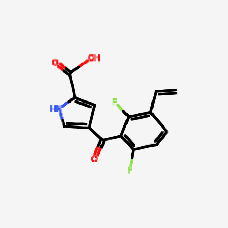 C=Cc1ccc(F)c(C(=O)c2c[nH]c(C(=O)O)c2)c1F